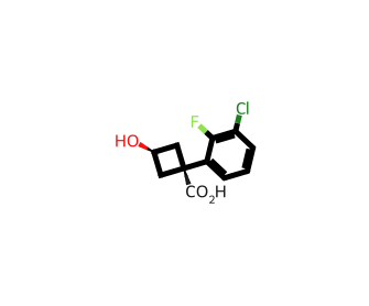 O=C(O)[C@]1(c2cccc(Cl)c2F)C[C@H](O)C1